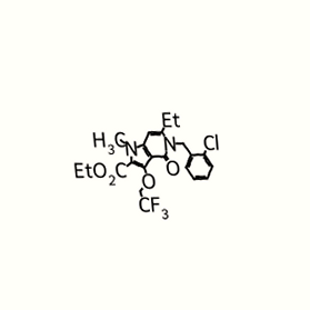 CCOC(=O)c1c(OCC(F)(F)F)c2c(=O)n(Cc3ccccc3Cl)c(CC)cc2n1C